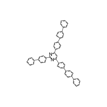 c1ccc(-c2ccc(-c3ccc(-c4cc(-c5ccc(-c6ccc(-c7ccccc7)cc6)cc5)nc(-c5ccc(-c6ccccc6)cc5)n4)cc3)cc2)cc1